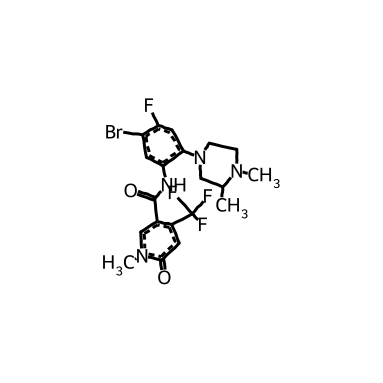 CC1CN(c2cc(F)c(Br)cc2NC(=O)c2cn(C)c(=O)cc2C(F)(F)F)CCN1C